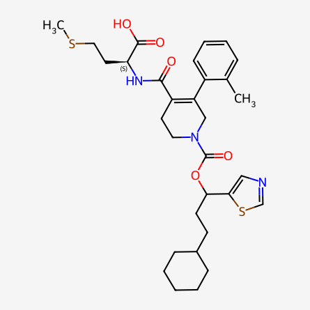 CSCC[C@H](NC(=O)C1=C(c2ccccc2C)CN(C(=O)OC(CCC2CCCCC2)c2cncs2)CC1)C(=O)O